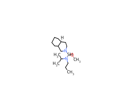 CCCN(C(C)C)[SiH](OC)N1CC[C@@H]2CCCCC2C1